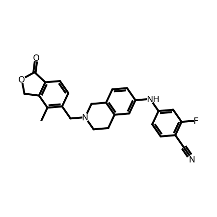 Cc1c(CN2CCc3cc(Nc4ccc(C#N)c(F)c4)ccc3C2)ccc2c1COC2=O